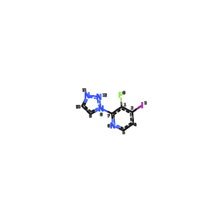 Fc1c(I)ccnc1-n1ccnn1